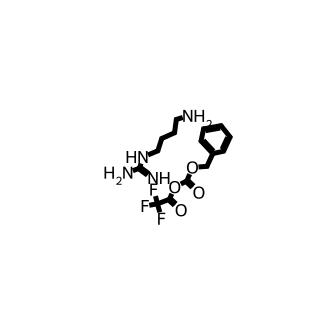 N=C(N)NCCCCN.O=C(OCc1ccccc1)OC(=O)C(F)(F)F